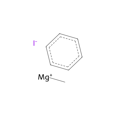 [CH3][Mg+].[I-].c1ccccc1